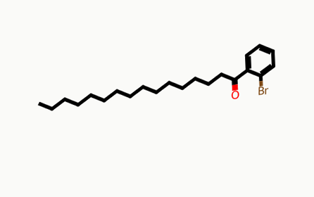 CCCCCCCCCCCCCCCC(=O)c1ccccc1Br